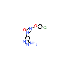 Nc1ncnc2cc(CN3CCN(CCOc4ccc(Cl)cc4)CC3=O)ccc12